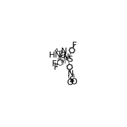 N#CC1(NC(=O)[C@@H]2CC(F)(F)CC[C@H]2c2nc(-c3ccc(F)cc3)sc2-c2ccc(N3CCS(=O)(=O)CC3)cc2)CC1